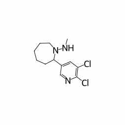 CNN1CCCCCC1c1cnc(Cl)c(Cl)c1